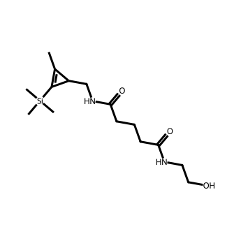 CC1=C([Si](C)(C)C)C1CNC(=O)CCCC(=O)NCCO